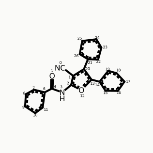 N#Cc1c(NC(=O)c2ccccc2)oc(-c2ccccc2)c1-c1ccccc1